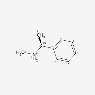 [CH2-][NH2+][C@@H](C)c1ccccc1